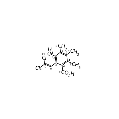 Cc1c(C)c(C)c(C(=O)O)c(C=C(Cl)Cl)c1C